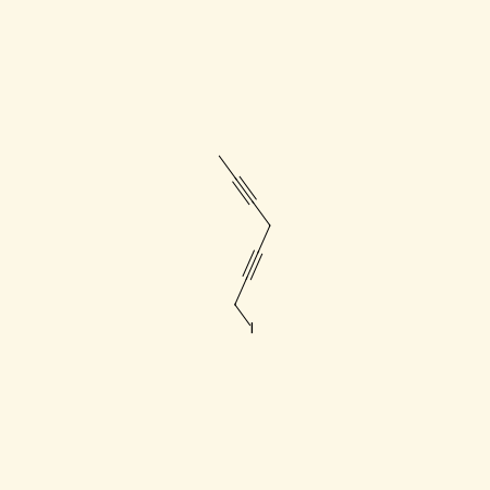 CC#CCC#CCI